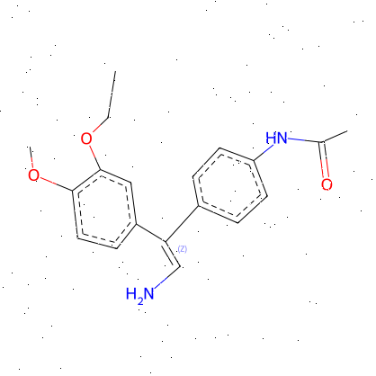 CCOc1cc(/C(=C\N)c2ccc(NC(C)=O)cc2)ccc1OC